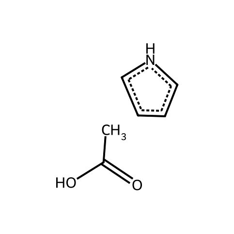 CC(=O)O.c1cc[nH]c1